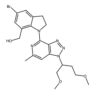 COCCC(COC)n1nnc2c(N3CCc4cc(Br)cc(CO)c43)nc(C)cc21